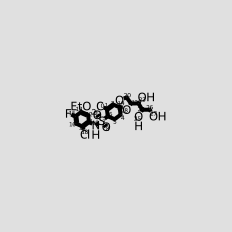 CCOC(=O)C1=CC2(CCC1S(=O)(=O)Nc1ccc(F)cc1Cl)OCC(C(O)C(O)CO)O2